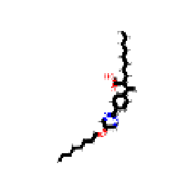 CCCCCCCCOc1cnc(-c2ccc(C(C)C(CCCCCCCC)C(=O)O)cc2)nc1